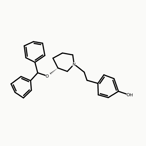 Oc1ccc(CCN2CCC[C@@H](OC(c3ccccc3)c3ccccc3)C2)cc1